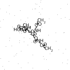 C=CC(=O)OCCNC(=O)OCC(CSCCC(=O)NC(C)(C)CS(=O)(=O)O)OC(=O)NCCOC(=O)C=C